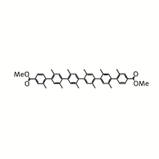 COC(=O)c1ccc(-c2cc(C)c(-c3cc(C)c(-c4cc(C)c(-c5cc(C)c(-c6ccc(C(=O)OC)cc6C)cc5C)cc4C)cc3C)cc2C)c(C)c1